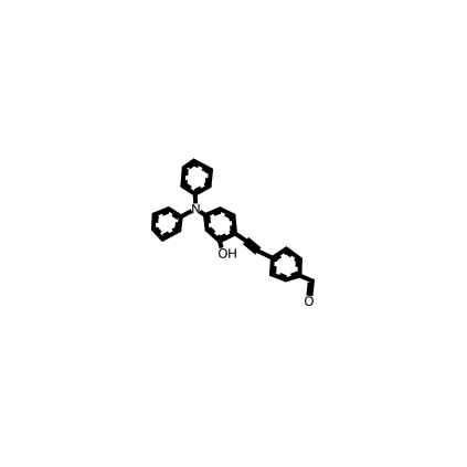 O=Cc1ccc(C#Cc2ccc(N(c3ccccc3)c3ccccc3)cc2O)cc1